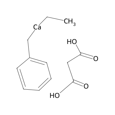 C[CH2][Ca][CH2]c1ccccc1.O=C(O)CC(=O)O